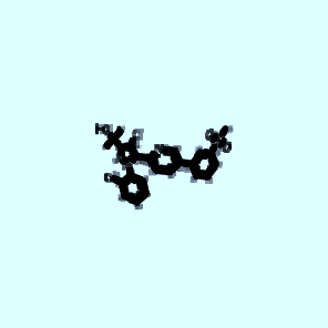 CC(C)(O)c1nn(-c2ccccc2Cl)c(-c2ccc(-c3cccc(S(C)(=O)=O)c3)cn2)c1Cl